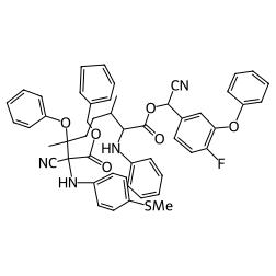 CSc1ccc(NC(C#N)(C(=O)OCc2ccccc2)C(C)(CCC(C)C(Nc2ccccc2)C(=O)OC(C#N)c2ccc(F)c(Oc3ccccc3)c2)Oc2ccccc2)cc1